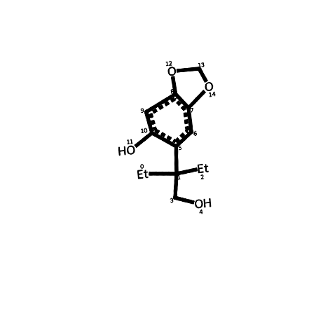 [CH2]CC(CC)(CO)c1cc2c(cc1O)OCO2